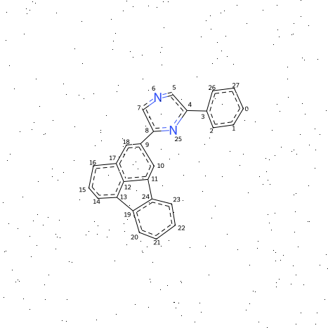 c1ccc(-c2cncc(-c3cc4c5c(cccc5c3)-c3ccccc3-4)n2)cc1